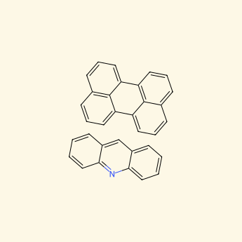 c1cc2cccc3c4cccc5cccc(c(c1)c23)c54.c1ccc2nc3ccccc3cc2c1